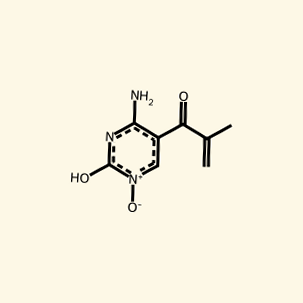 C=C(C)C(=O)c1c[n+]([O-])c(O)nc1N